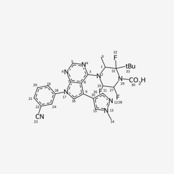 CC1N(c2ncnc3c2c(-c2cnn(C)c2)cn3-c2cccc(C#N)c2)C(F)C(F)N(C(=O)O)C1(F)C(C)(C)C